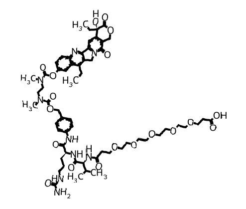 CCc1c2c(nc3ccc(OC(=O)N(C)CCN(C)C(=O)OCc4ccc(NC(=O)[C@H](CCCNC(N)=O)NC(=O)[C@@H](NC(=O)CCOCCOCCOCCOCCOCCC(=O)O)C(C)C)cc4)cc13)-c1cc3c(c(=O)n1C2)COC(=O)[C@]3(O)CC